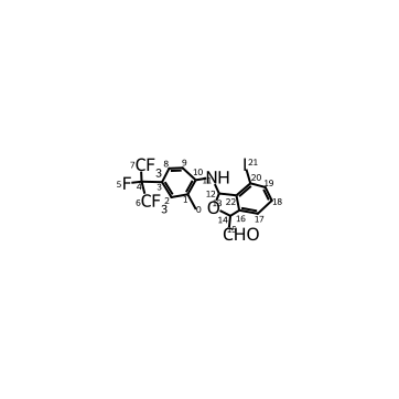 Cc1cc(C(F)(C(F)(F)F)C(F)(F)F)ccc1NC1OC(C=O)c2cccc(I)c21